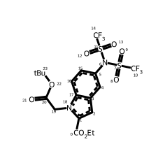 CCOC(=O)c1cc2cc(N(S(=O)(=O)C(F)(F)F)S(=O)(=O)C(F)(F)F)ccc2n1CC(=O)OC(C)(C)C